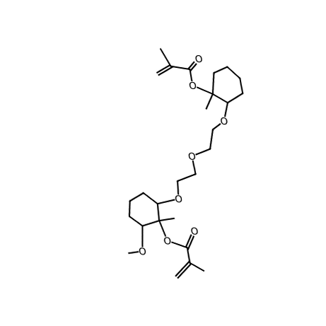 C=C(C)C(=O)OC1(C)CCCCC1OCCOCCOC1CCCC(OC)C1(C)OC(=O)C(=C)C